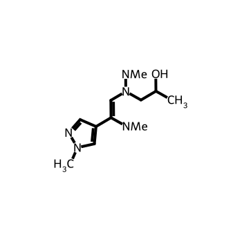 CN/C(=C\N(CC(C)O)NC)c1cnn(C)c1